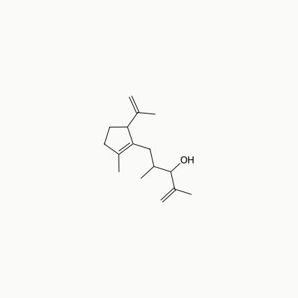 C=C(C)C1CCC(C)=C1CC(C)C(O)C(=C)C